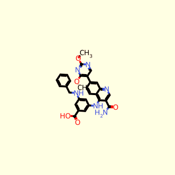 COc1ncc(-c2ccc3c(Nc4cc(NCc5ccccc5)cc(C(=O)O)c4)c(C(N)=O)cnc3c2)c(OC)n1